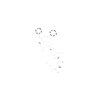 CC[C@H](C)[C@@H]([C@@H](CC(=O)N1CCC[C@H]1[C@H](OC)[C@@H](C)C(=O)N[C@H](CCc1ccc(S(=O)(=O)O)cc1)Cc1ccccc1)OC)N(C)C(=O)[C@@H](NC(=O)[C@H](C(C)C)N(C)CCCC(=O)O)C(C)C